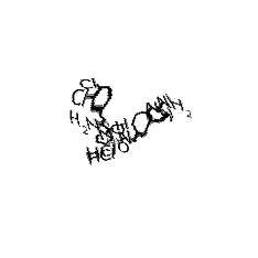 Cl.Cl.Nc1ncc2c(n1)CCC(CNC(=O)[C@@H]1CCCN1C(=O)[C@H](N)Cc1ccc(Cl)c(Cl)c1)C2